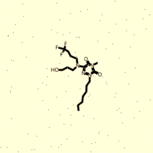 CCCCCCCn1nc(N(CCCO)CCCC(F)(F)F)c(=O)n(C)c1=O